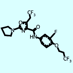 O=C(Nc1ccc(OCCC(F)(F)F)c(F)c1)c1nc(N2CCCC2)oc1CC(F)(F)F